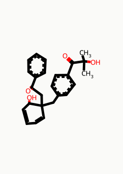 CC(C)(O)C(=O)c1ccc(CC2(CC(=O)c3ccccc3)C=CC=CC2O)cc1